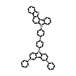 c1ccc(-c2ccc3c(c2)c2cc(-c4ccccc4)ccc2n3-c2ccc(-c3ccc(-n4c5ccccc5c5c6sc7ccccc7c6ccc54)cc3)cc2)cc1